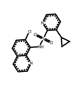 O=S(=O)(Nc1c(Cl)ccc2cccnc12)c1ncccc1C1CC1